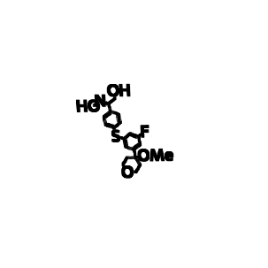 COC1(c2cc(F)cc(Sc3ccc(/C(CO)=N\O)cc3)c2)CCOCC1